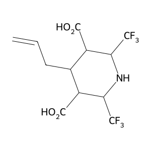 C=CCC1C(C(=O)O)C(C(F)(F)F)NC(C(F)(F)F)C1C(=O)O